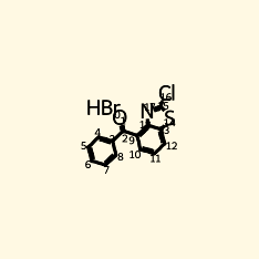 Br.O=C(c1ccccc1)c1cccc2sc(Cl)nc12